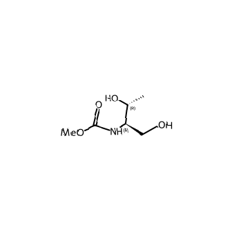 COC(=O)N[C@H](CO)[C@@H](C)O